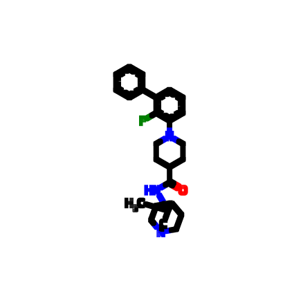 CC1(NC(=O)C2CCN(c3cccc(-c4ccccc4)c3F)CC2)CN2CCC1CC2